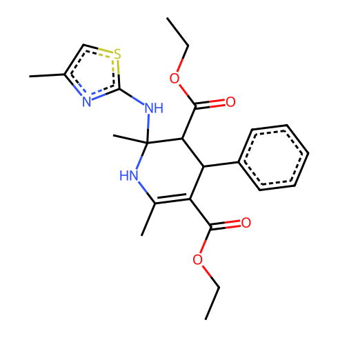 CCOC(=O)C1=C(C)NC(C)(Nc2nc(C)cs2)C(C(=O)OCC)C1c1ccccc1